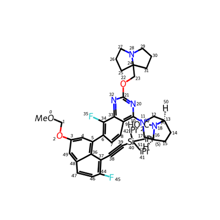 COCOc1cc(-c2ccc3c(N4C[C@H]5CC[C@@H](C4)N5C(=O)O)nc(OCC45CCCN4CCC5)nc3c2F)c2c(C#C[Si](C(C)C)(C(C)C)C(C)C)c(F)ccc2c1